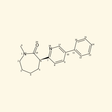 CN1CCCC[C@H](c2ccc(-c3ccccc3)cn2)C1=O